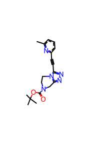 Cc1cccc(C#Cc2nnc3n2CCN(C(=O)OC(C)(C)C)C3)n1